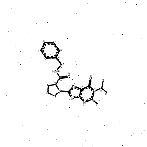 Cc1nc2sc(N3CCCC3C(=O)NCc3ccccc3)nc2c(=O)n1C(C)C